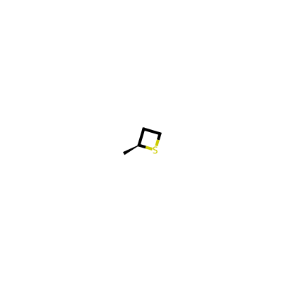 C[C@H]1CCS1